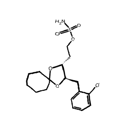 NS(=O)(=O)OCC[C@H]1OC2(CCCCC2)O[C@@H]1Cc1ccccc1Cl